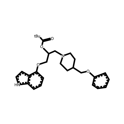 CC(C)(C)C(=O)OC(COc1cccc2[nH]ccc12)CN1CCC(COc2ccccc2)CC1